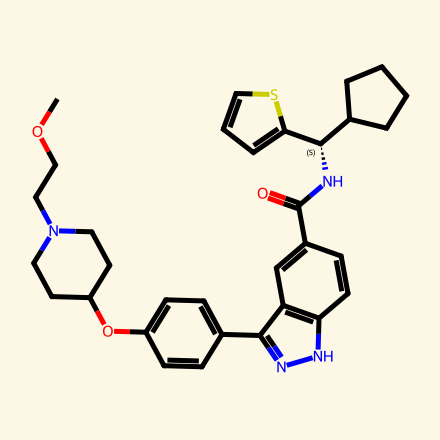 COCCN1CCC(Oc2ccc(-c3n[nH]c4ccc(C(=O)N[C@H](c5cccs5)C5CCCC5)cc34)cc2)CC1